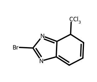 ClC(Cl)(Cl)C1C=CC=C2N=C(Br)N=C21